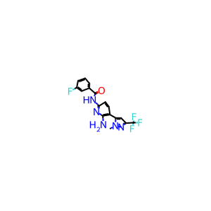 Cn1nc(C(F)(F)F)cc1-c1ccc(NC(=O)c2cccc(F)c2)nc1N